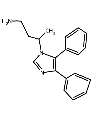 CC(CCN)n1cnc(-c2ccccc2)c1-c1ccccc1